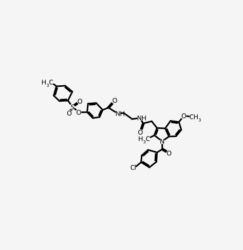 COc1ccc2c(c1)c(CC(=O)NCCNC(=O)c1ccc(OS(=O)(=O)c3ccc(C)cc3)cc1)c(C)n2C(=O)c1ccc(Cl)cc1